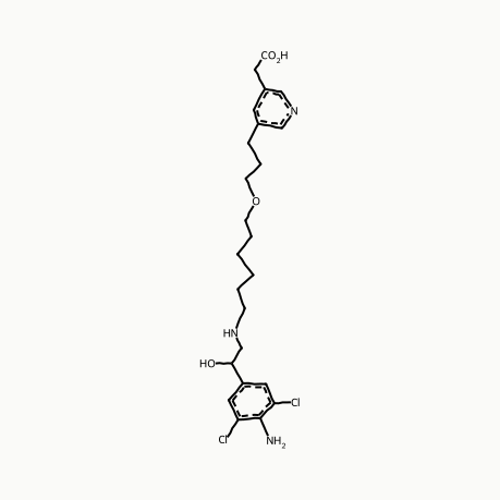 Nc1c(Cl)cc(C(O)CNCCCCCCOCCCc2cncc(CC(=O)O)c2)cc1Cl